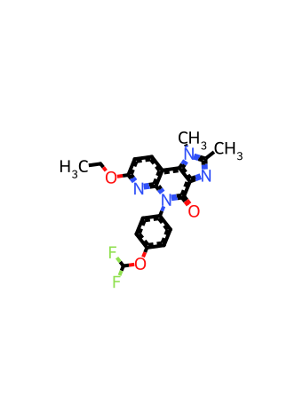 CCOc1ccc2c3c(nc(C)n3C)c(=O)n(-c3ccc(OC(F)F)cc3)c2n1